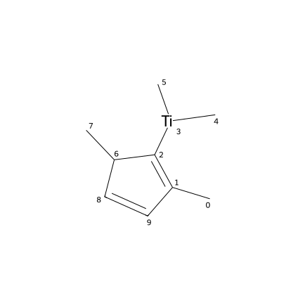 CC1=[C]([Ti]([CH3])[CH3])C(C)C=C1